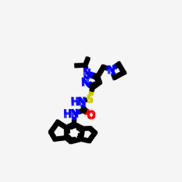 CC(C)n1nc(SNC(=O)Nc2c3c(cc4c2CCC4)CCC3)cc1CN1CCC1